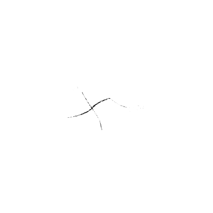 CCCC(C)(C)COC(C)=O